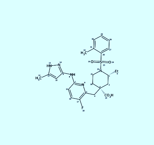 CC[C@@H]1C[C@](Cc2nc(Nc3cc(C)[nH]n3)ccc2F)(C(=O)O)CCN1S(=O)(=O)c1ccccc1C